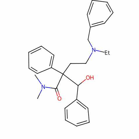 CCN(CCC(C(=O)N(C)C)(c1ccccc1)C(O)c1ccccc1)Cc1ccccc1